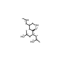 CNCC(CO)CC(=O)N(CC(C)O)CC(C)O